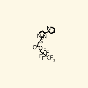 O=C(CSc1nccc(-c2ccccn2)n1)OCC(F)(F)C(F)(F)C(F)(F)F